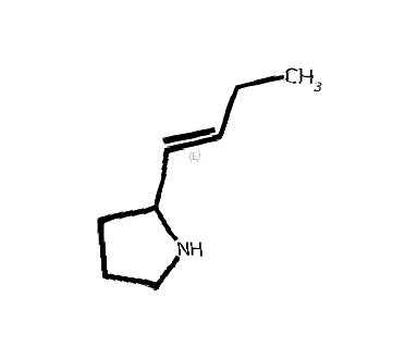 CC/C=C/C1CCCN1